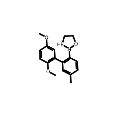 COc1ccc(OC)c(-c2cc(C)ccc2N2BCCO2)c1